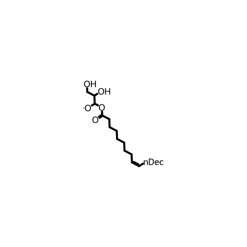 CCCCCCCCCC/C=C\CCCCCCCC(=O)OC([O])C(O)CO